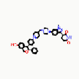 Cn1nc([C@@H]2CCC(=O)NC2=O)c2ccc(N3CCN(CC4CCN(c5ccc([C@@H]6c7ccc(O)cc7CO[C@@H]6c6ccccc6)cc5)CC4)CC3)cc21